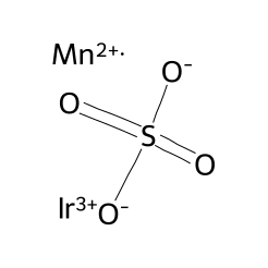 O=S(=O)([O-])[O-].[Ir+3].[Mn+2]